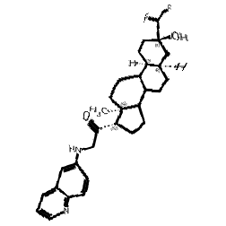 C[C@]12CCC3C(CC[C@@H]4C[C@@](O)(C(F)F)CC[C@H]34)C1CC[C@@H]2C(=O)CNc1ccc2ncccc2c1